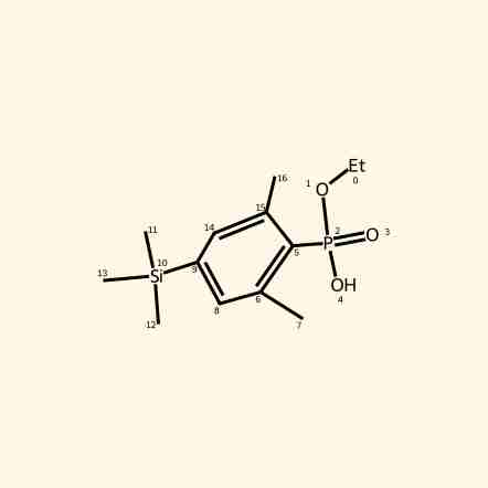 CCOP(=O)(O)c1c(C)cc([Si](C)(C)C)cc1C